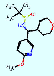 COc1ccc(C(N[S+]([O-])C(C)(C)C)C2CCOCC2)cn1